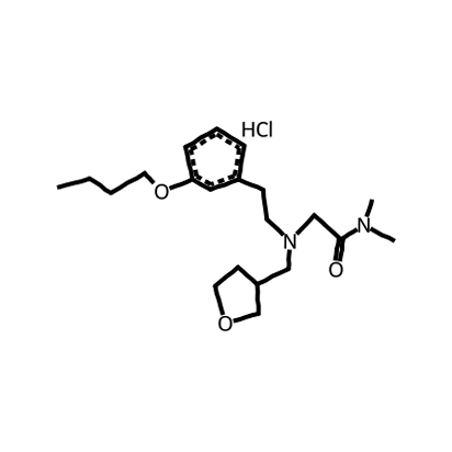 CCCCOc1cccc(CCN(CC(=O)N(C)C)CC2CCOC2)c1.Cl